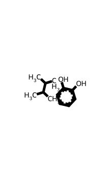 CC(C)C(C)C.Oc1ccccc1O